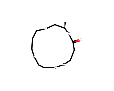 C[C@@H]1CCCCCCCCCCCCC(=O)C1